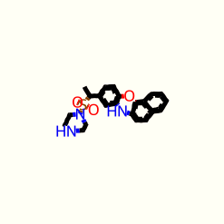 CC(c1ccc2c(c1)Nc1ccc3ccccc3c1O2)S(=O)(=O)N1CCNCC1